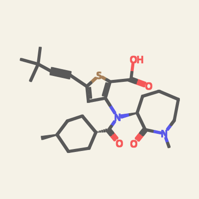 CN1CCCC[C@H](N(c2cc(C#CC(C)(C)C)sc2C(=O)O)C(=O)[C@H]2CC[C@H](C)CC2)C1=O